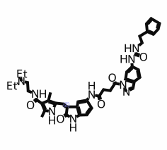 CCN(CC)CCNC(=O)c1c(C)[nH]c(/C=C2\C(=O)Nc3ccc(NC(=O)CCC(=O)n4ncc5ccc(NC(=O)NCCc6ccccc6)cc54)cc32)c1C